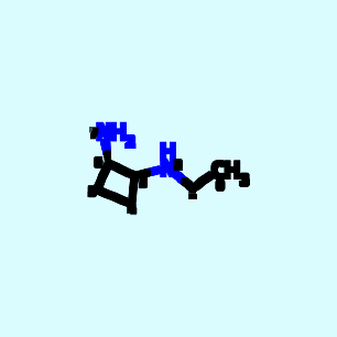 CCNC1CC[C@H]1N